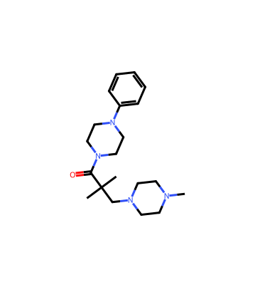 CN1CCN(CC(C)(C)C(=O)N2CCN(c3ccccc3)CC2)CC1